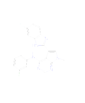 Cn1cc(-c2nc3ccc(F)cc3[nH]2)c2c(Nc3cccc(Cl)c3)ncnc21